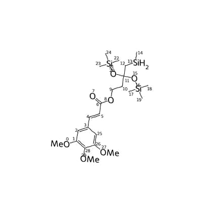 COc1cc(/C=C/C(=O)OCCC(C[SiH2]C)(O[Si](C)(C)C)O[Si](C)(C)C)cc(OC)c1OC